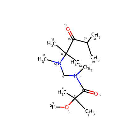 [2H]OC(C)(C)C(=O)N(C)CN(C)C(C)(C)C(=O)C(C)C